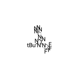 CC1(Cn2cnc3c(N4CC(F)(F)C(F)(F)C4)nc(C(C)(C)C)nc32)N=NN=N1